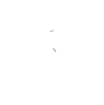 CCOC(=O)COCC#CCCCCCCCO